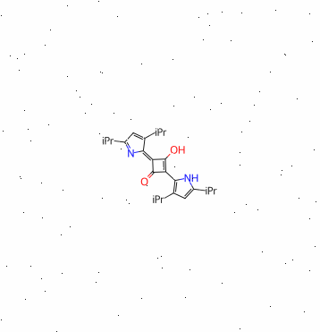 CC(C)C1=CC(C(C)C)=N/C1=C1\C(=O)C(c2[nH]c(C(C)C)cc2C(C)C)=C1O